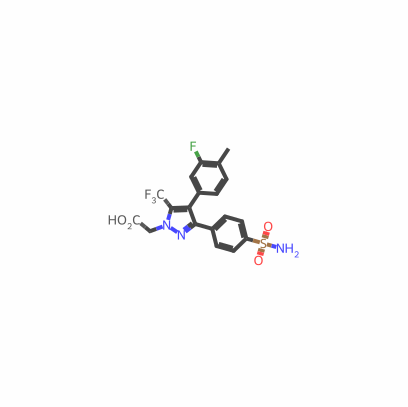 Cc1ccc(-c2c(-c3ccc(S(N)(=O)=O)cc3)nn(CC(=O)O)c2C(F)(F)F)cc1F